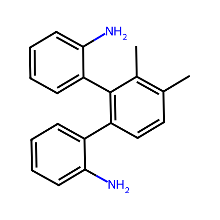 Cc1ccc(-c2ccccc2N)c(-c2ccccc2N)c1C